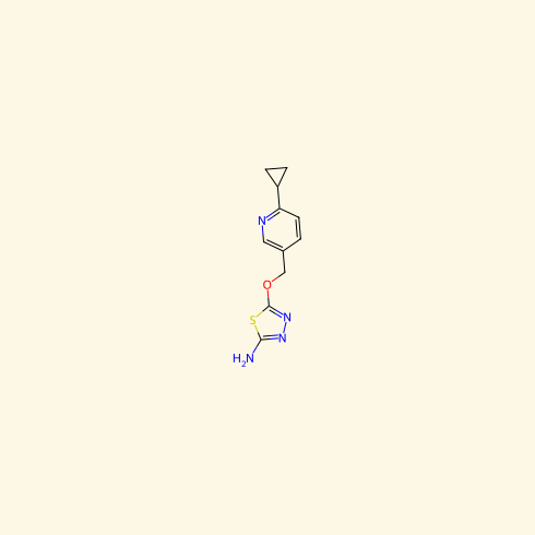 Nc1nnc(OCc2ccc(C3CC3)nc2)s1